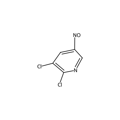 O=Nc1cnc(Cl)c(Cl)c1